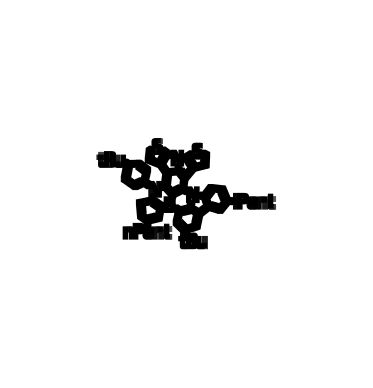 CCCCCc1ccc2c(c1)B1c3c(c4c5ccsc5n5c6sccc6c(c3-n3c6ccc(C(C)CCC)cc6c6cc(C(C)(C)C)cc1c63)c45)N2c1ccc(C(C)(C)C)cc1